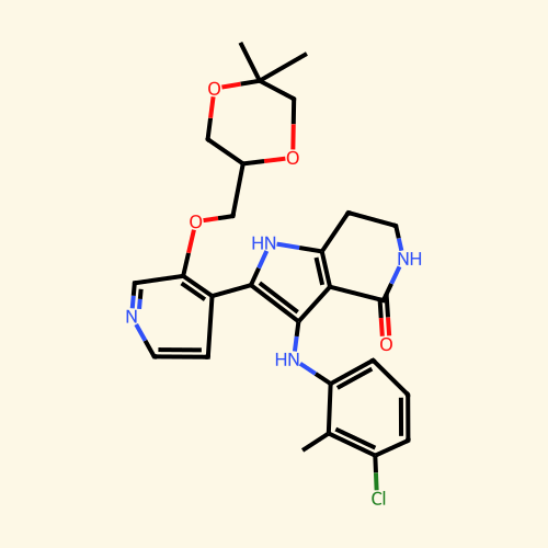 Cc1c(Cl)cccc1Nc1c(-c2ccncc2OCC2COC(C)(C)CO2)[nH]c2c1C(=O)NCC2